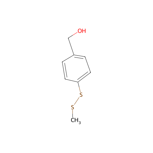 CSSc1ccc(CO)cc1